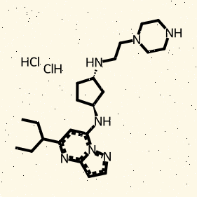 CCC(CC)c1cc(N[C@H]2CC[C@H](NCCN3CCNCC3)C2)n2nccc2n1.Cl.Cl